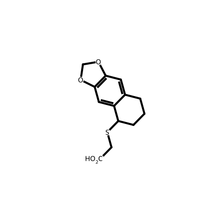 O=C(O)CSC1CCCc2cc3c(cc21)OCO3